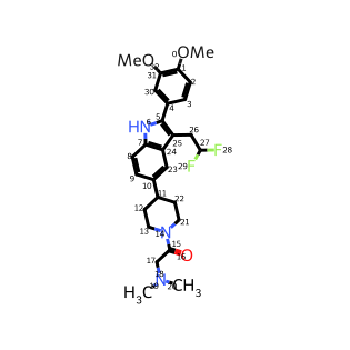 COc1ccc(-c2[nH]c3ccc(C4CCN(C(=O)CN(C)C)CC4)cc3c2CC(F)F)cc1OC